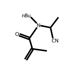 C=C(C)C(=O)N(CCCC)C(C)C#N